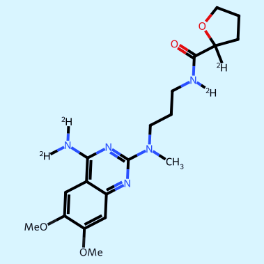 [2H]N(CCCN(C)c1nc(N([2H])[2H])c2cc(OC)c(OC)cc2n1)C(=O)C1([2H])CCCO1